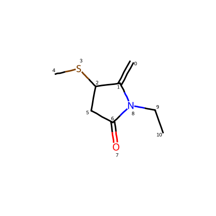 C=C1C(SC)CC(=O)N1CC